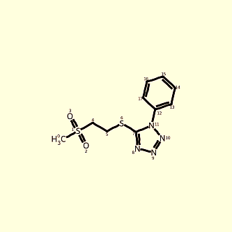 CS(=O)(=O)CCSc1nnnn1-c1ccccc1